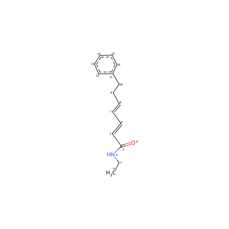 CCNC(=O)/C=C/C=C/CCc1ccccc1